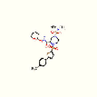 CCCN(C)S(=O)(=O)N1CCN(S(=O)(=O)c2ccc(-c3ccc(C(F)(F)F)cc3)s2)[C@@H](C(=O)NOC2CCCCO2)C1